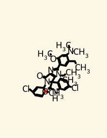 CCc1cc(-c2nc3c(n2C(C)C)C2(C(=O)Nc4cc(Cl)ccc42)N(C2C=C(Cl)C=CC2C)C3=O)c(OC)cc1N(C)C